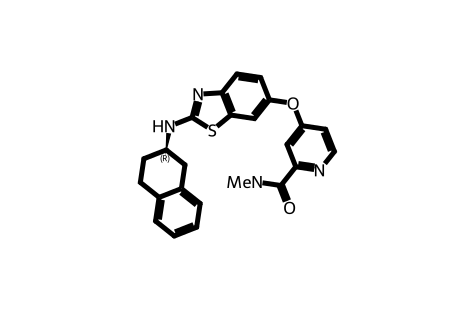 CNC(=O)c1cc(Oc2ccc3nc(N[C@@H]4CCc5ccccc5C4)sc3c2)ccn1